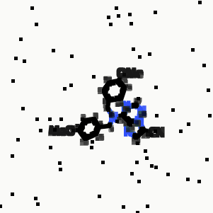 COc1ccc(CN(Cc2ccc(OC)cc2)c2ncnn3c(C#N)cnc23)cc1